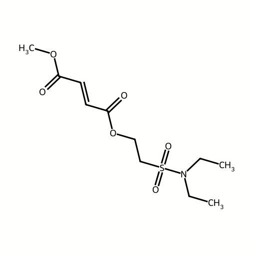 CCN(CC)S(=O)(=O)CCOC(=O)/C=C/C(=O)OC